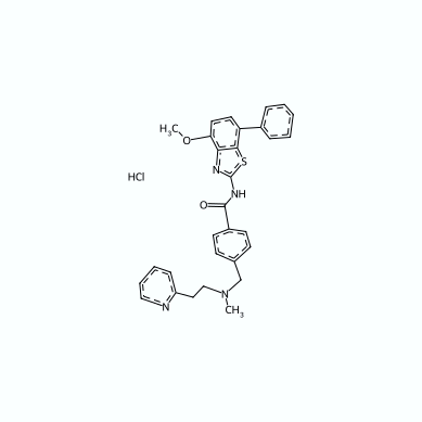 COc1ccc(-c2ccccc2)c2sc(NC(=O)c3ccc(CN(C)CCc4ccccn4)cc3)nc12.Cl